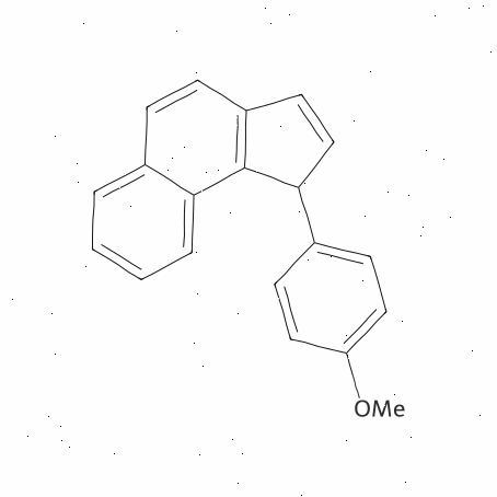 COc1ccc(C2C=Cc3ccc4ccccc4c32)cc1